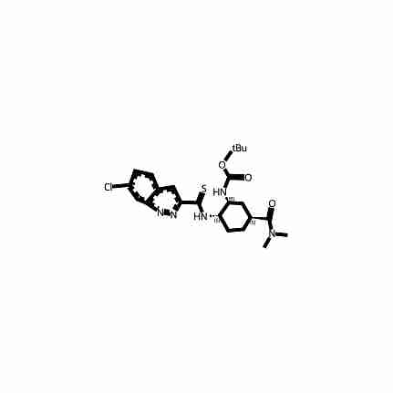 CN(C)C(=O)[C@H]1CC[C@H](NC(=S)c2cc3ccc(Cl)cc3nn2)[C@H](NC(=O)OC(C)(C)C)C1